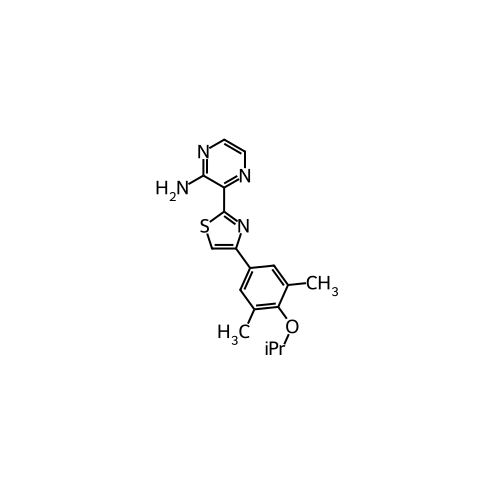 Cc1cc(-c2csc(-c3nccnc3N)n2)cc(C)c1OC(C)C